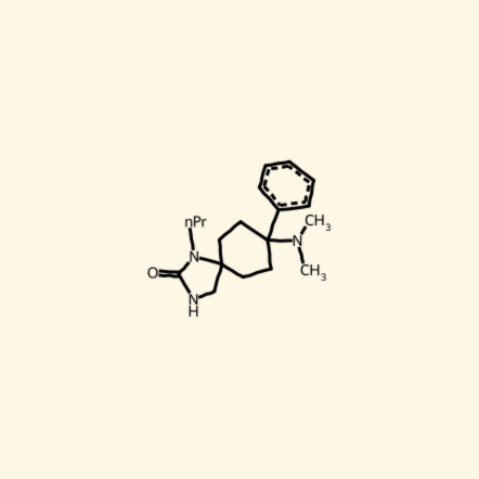 CCCN1C(=O)NCC12CCC(c1ccccc1)(N(C)C)CC2